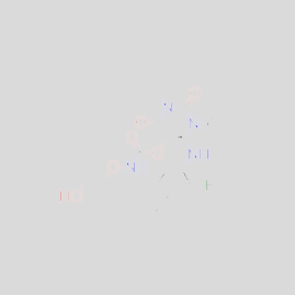 Cn1c(Nc2ccc(I)cc2F)c(OC(=O)NOCCO)c(=O)n(C2CC2)c1=O